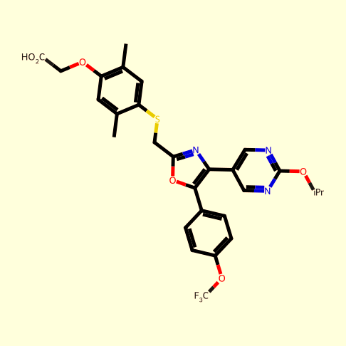 Cc1cc(SCc2nc(-c3cnc(OC(C)C)nc3)c(-c3ccc(OC(F)(F)F)cc3)o2)c(C)cc1OCC(=O)O